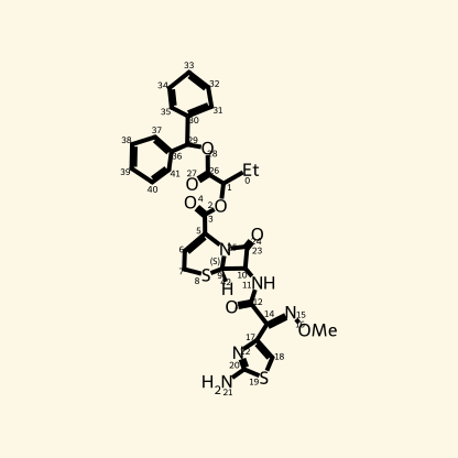 CCC(OC(=O)C1=CCS[C@H]2C(NC(=O)C(=NOC)c3csc(N)n3)C(=O)N12)C(=O)OC(c1ccccc1)c1ccccc1